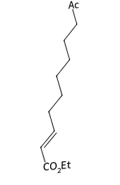 CCOC(=O)/C=C/CCCCCCC(C)=O